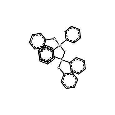 c1ccc(O[Si](C[Si](Oc2ccccc2)(c2ccccc2)c2ccccc2)(c2ccccc2)c2ccccc2)cc1